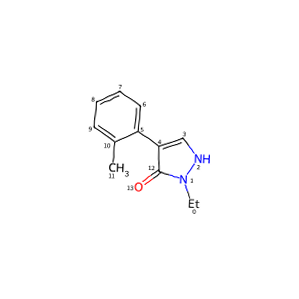 CCn1[nH]cc(-c2ccccc2C)c1=O